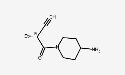 C#C[C@@H](CC)C(=O)N1CCC(N)CC1